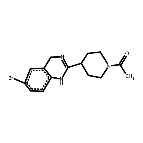 CC(=O)N1CCC(C2=NCc3cc(Br)ccc3N2)CC1